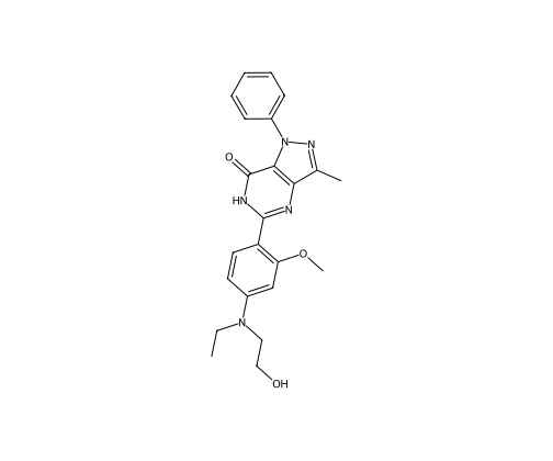 CCN(CCO)c1ccc(-c2nc3c(C)nn(-c4ccccc4)c3c(=O)[nH]2)c(OC)c1